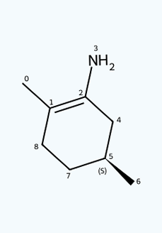 CC1=C(N)C[C@@H](C)CC1